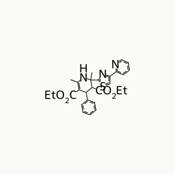 CCOC(=O)C1=C(C)NC(C)(c2nc(-c3ccccn3)cs2)C(C(=O)OCC)C1c1ccccc1